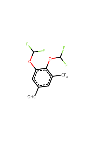 O=Cc1cc(OC(F)F)c(OC(F)F)c(C(F)(F)F)c1